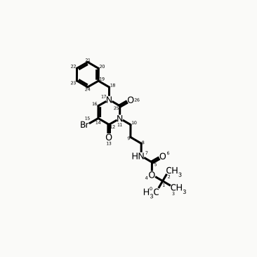 CC(C)(C)OC(=O)NCCCn1c(=O)c(Br)cn(Cc2ccccc2)c1=O